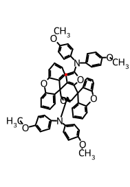 COc1ccc(N(c2ccc(OC)cc2)c2cc3c(o2)C2(c4ccccc4Oc4ccccc42)c2cc(N(c4ccc(OC)cc4)c4ccc(OC)cc4)oc2C32c3ccccc3Oc3ccccc32)cc1